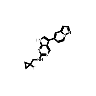 FC1(CNc2ncc3c(-c4ccn5nccc5c4)c[nH]c3n2)CC1